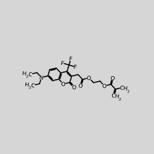 C=C(C)C(=O)OCCOC(=O)Cc1c(C(F)(F)F)c2ccc(N(CC)CC)cc2oc1=O